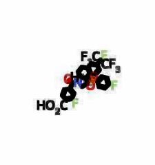 O=C(O)c1ccc(C(=O)N2CC[C@@]3(S(=O)(=O)c4ccc(F)cc4)c4ccc(C(F)(C(F)(F)F)C(F)(F)F)cc4CC[C@@H]23)cc1F